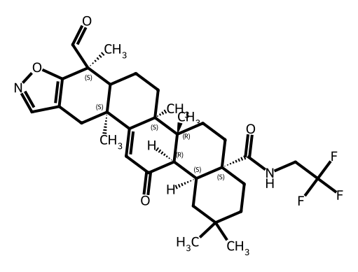 CC1(C)CC[C@]2(C(=O)NCC(F)(F)F)CC[C@]3(C)[C@H](C(=O)C=C4[C@@]5(C)Cc6cnoc6[C@@](C)(C=O)C5CC[C@]43C)[C@@H]2C1